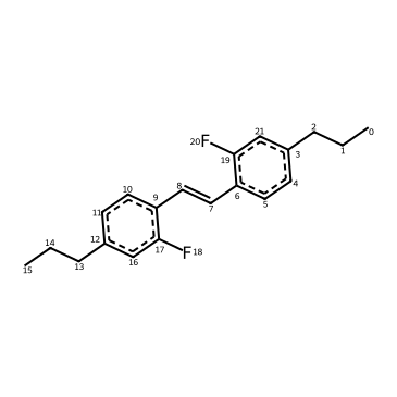 CCCc1ccc(/C=C/c2ccc(CCC)cc2F)c(F)c1